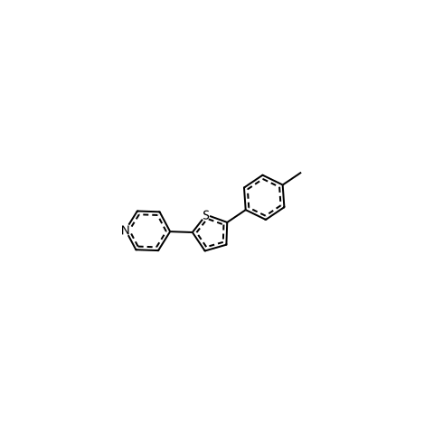 Cc1ccc(-c2ccc(-c3ccncc3)s2)cc1